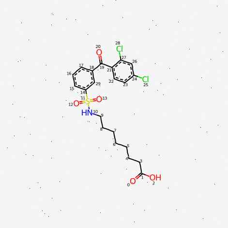 O=C(O)CCCCCCCNS(=O)(=O)c1cccc(C(=O)c2ccc(Cl)cc2Cl)c1